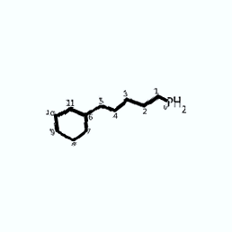 PCCCCCC1CCCCC1